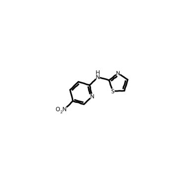 O=[N+]([O-])c1ccc(Nc2nccs2)nc1